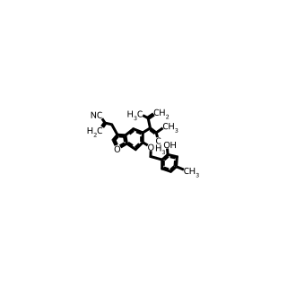 C=C(C#N)Cc1coc2cc(OCc3ccc(C)cc3O)c(C(C(=C)C)=C(C)C)cc12